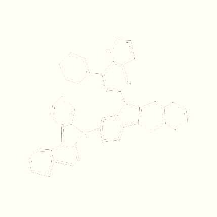 c1ccc(-c2nc(-n3c4cc(-n5c6ccccc6c6c7ccccc7ccc65)ccc4c4cc5ccccc5cc43)nc3ccccc23)cc1